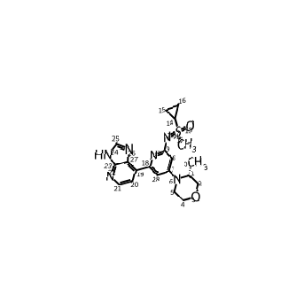 C[C@@H]1COCCN1c1cc(N=S(C)(=O)C2CC2)nc(-c2ccnc3[nH]cnc23)c1